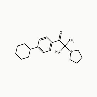 CC(C)(C(=O)c1ccc(C2CCCCC2)cc1)N1CCCC1